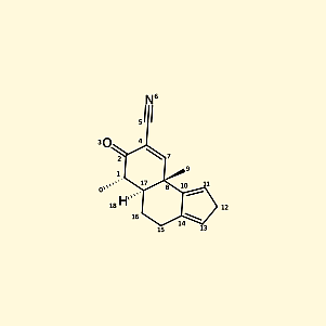 C[C@@H]1C(=O)C(C#N)=C[C@]2(C)C3=CCC=C3CC[C@@H]12